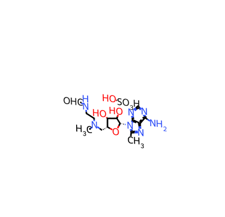 Cc1nc2c(N)ncnc2n1[C@@H]1O[C@H](CN(C)CCNC=O)C(O)C1O.O=S(=O)(O)O